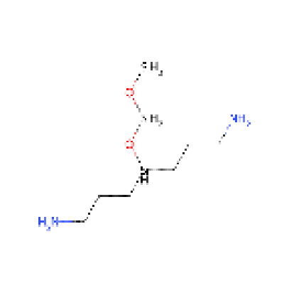 NCCC[SiH](CCCN)O[SiH2]O[SiH3]